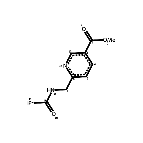 COC(=O)c1ccc(CNC(=O)C(C)C)nc1